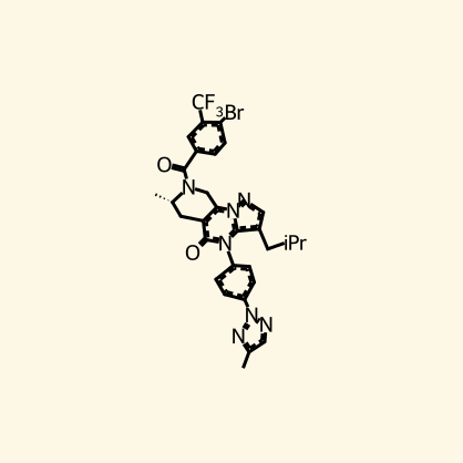 Cc1cnn(-c2ccc(-n3c(=O)c4c(n5ncc(CC(C)C)c35)CN(C(=O)c3ccc(Br)c(C(F)(F)F)c3)[C@@H](C)C4)cc2)n1